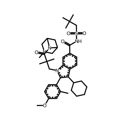 COc1ccc(-c2c(C3CCCCC3)c3ccc(C(=O)NS(=O)(=O)CC(C)(C)C)cc3n2CC(C)(C)C(=O)N2C3CC2CN(C)C3)c(C)c1